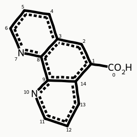 O=C(O)c1cc2cccnc2c2ncccc12